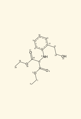 CCOC(=O)C(Nc1ccccc1CCO)C(=O)OCC